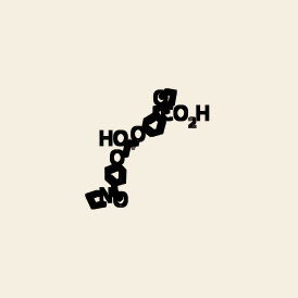 O=C(c1ccc(OC[C@H](O)COc2cccc(CC3(C(=O)O)CCCO3)c2)cc1)N1CCCC1